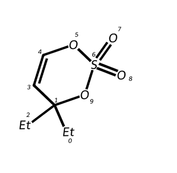 CCC1(CC)C=COS(=O)(=O)O1